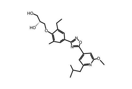 CCc1cc(-c2noc(-c3cc(CC(C)C)nc(OC)c3)n2)cc(C)c1OC[C@H](O)CO